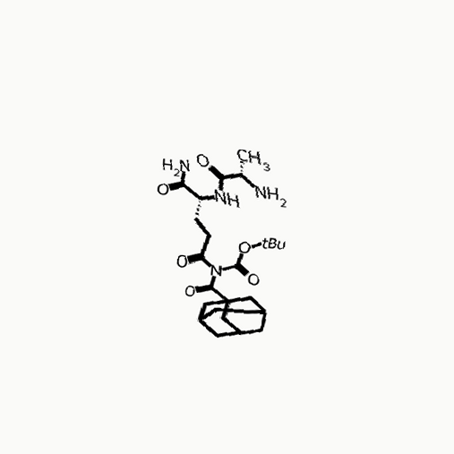 C[C@H](N)C(=O)N[C@H](CCC(=O)N(C(=O)OC(C)(C)C)C(=O)C12CC3CC(CC(C3)C1)C2)C(N)=O